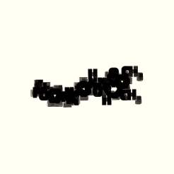 Cc1ccc2c(c1)N(C=O)/C(=N/C(=O)Nc1ccc(-c3ncn(-c4ccc(OC(F)(F)F)cc4)n3)cc1)NCCC2C